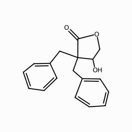 O=C1OCC(O)C1(Cc1ccccc1)Cc1ccccc1